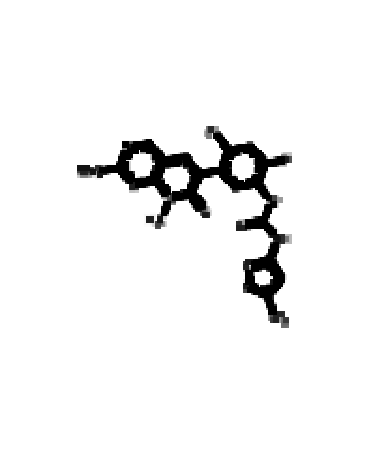 CSc1ncc2cc(-c3cc(NC(=O)Nc4cc(C(F)(F)F)no4)c(F)cc3Cl)c(=O)n(C)c2n1